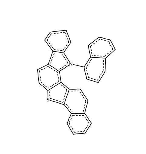 c1ccc2c(-n3c4ccccc4c4ccc5sc6c7ccccc7ccc6c5c43)cccc2c1